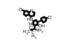 CC(C)(C)C(N)c1cc(Nc2ccnc3cc(Cl)ccc23)cc(-c2ccc(Cl)cc2)c1O